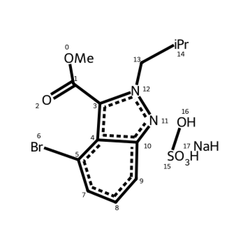 COC(=O)c1c2c(Br)cccc2nn1CC(C)C.O=S(=O)(O)O.[NaH]